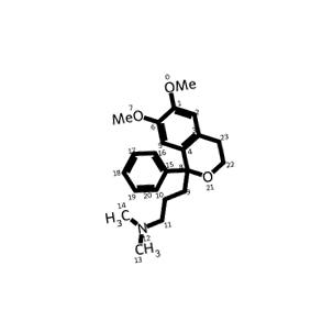 COc1cc2c(cc1OC)C(CCCN(C)C)(c1ccccc1)OCC2